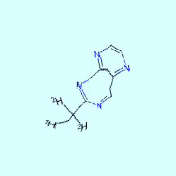 [2H]C([2H])([2H])c1ncc2nccnc2n1